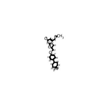 COCc1cc(=O)nc2n1CC(COc1ccc(C3CCC(F)(F)CC3)cc1)O2